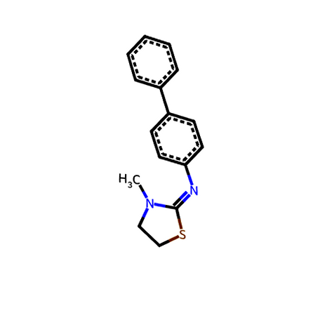 CN1CCSC1=Nc1ccc(-c2ccccc2)cc1